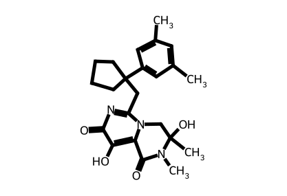 Cc1cc(C)cc(C2(Cc3nc(=O)c(O)c4n3CC(C)(O)N(C)C4=O)CCCC2)c1